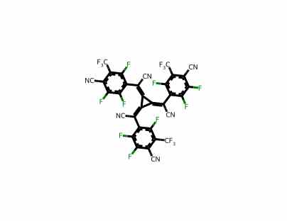 N#CC(=C1C(=C(C#N)c2c(F)c(F)c(C#N)c(C(F)(F)F)c2F)C1=C(C#N)c1c(F)c(F)c(C#N)c(C(F)(F)F)c1F)c1c(F)c(F)c(C#N)c(C(F)(F)F)c1F